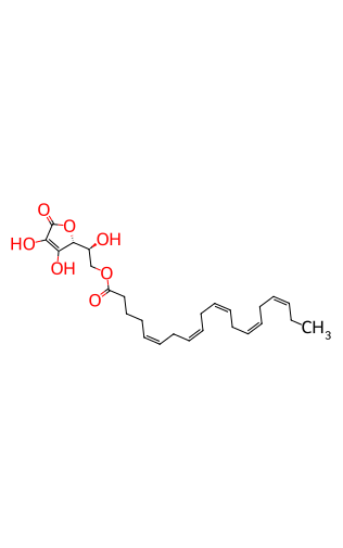 CC/C=C\C/C=C\C/C=C\C/C=C\C/C=C\CCCC(=O)OC[C@H](O)[C@H]1OC(=O)C(O)=C1O